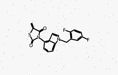 C=C1SC(=O)N(c2cccc3c2ccn3Cc2cc(F)ccc2F)C1=O